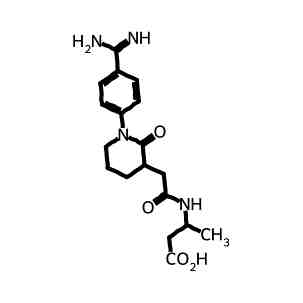 CC(CC(=O)O)NC(=O)CC1CCCN(c2ccc(C(=N)N)cc2)C1=O